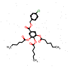 CCCCCC(=O)Oc1cc(C(=O)OCc2ccc(Cl)cc2)cc(OC(=O)CCCCC)c1OC(=O)CCCCC